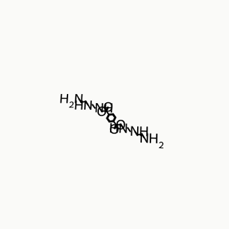 NCCNCCNOC(=O)c1ccc(C(=O)ONCCNCCN)cc1